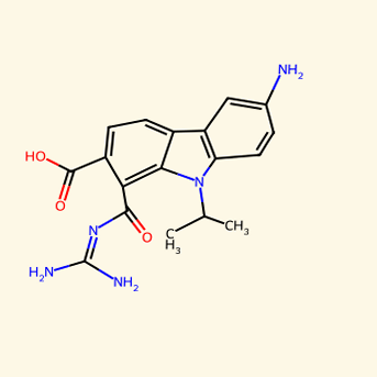 CC(C)n1c2ccc(N)cc2c2ccc(C(=O)O)c(C(=O)N=C(N)N)c21